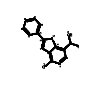 CC(O)c1cnc(Cl)c2cc(-c3ccccc3)sc12